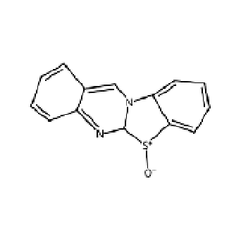 [O-][S+]1c2ccccc2N2C=c3ccccc3=NC21